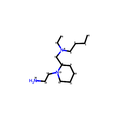 CCCCN(CC)CC1CCCCN1CCN